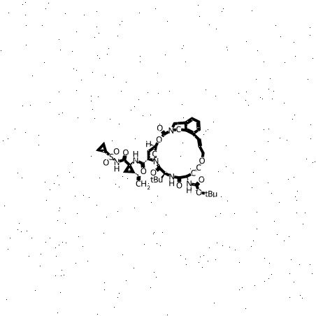 C=C[C@@H]1C[C@]1(NC(=O)[C@@H]1C[C@@H]2CN1C(=O)[C@H](C(C)(C)C)NC(=O)[C@@H](NC(=O)OC(C)(C)C)CCOC/C=C/c1cccc3c1CN(C3)C(=O)O2)C(=O)NS(=O)(=O)C1CC1